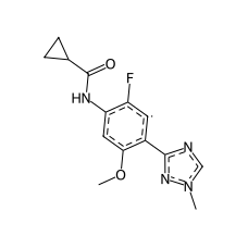 COc1cc(NC(=O)C2CC2)c(F)[c]c1-c1ncn(C)n1